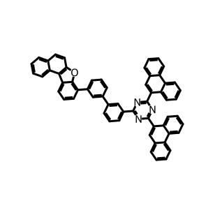 c1cc(-c2cccc(-c3cccc4c3oc3ccc5ccccc5c34)c2)cc(-c2nc(-c3cc4ccccc4c4ccccc34)nc(-c3cc4ccccc4c4ccccc34)n2)c1